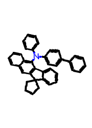 c1ccc(-c2ccc(N(c3ccccc3)c3c4c(cc5ccccc35)C3(CCCC3)c3ccccc3-4)cc2)cc1